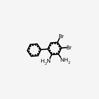 Nc1c(-c2ccccc2)cc(Br)c(Br)c1N